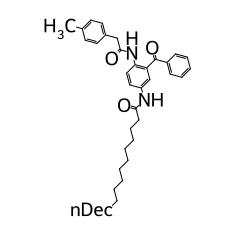 CCCCCCCCCCCCCCCCCCCC(=O)Nc1ccc(NC(=O)Cc2ccc(C)cc2)c(C(=O)c2ccccc2)c1